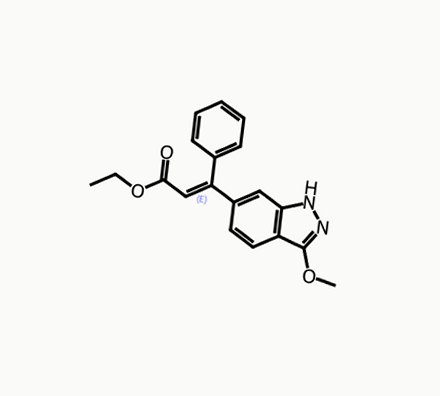 CCOC(=O)/C=C(\c1ccccc1)c1ccc2c(OC)n[nH]c2c1